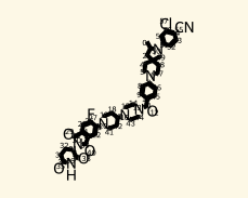 CC1CC2(CCN(c3ccc(C(=O)N4CCN(C5CCN(c6cc7c(cc6F)C(=O)N(C6CCC(=O)NC6=O)C7=O)CC5)CC4)cc3)CC2)CN1c1ccc(C#N)c(Cl)c1